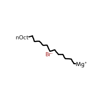 CCCCCCCCCCCCCCCCCCC[CH2][Mg+].[Br-]